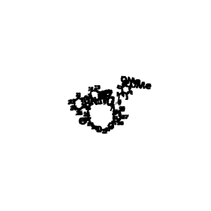 COc1ccc(CC[C@H]2OC(=O)[C@@H]3CCCCN3C(=O)[C@@H](C3CCCCC3)CC(=O)CCOCCOc3cccc2c3)cc1OC